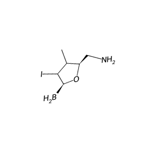 B[C@@H]1O[C@H](CN)C(C)C1I